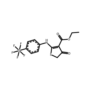 CCOC(=O)C1=C(Nc2ccc(S(F)(F)(F)(F)F)cc2)SCC1=O